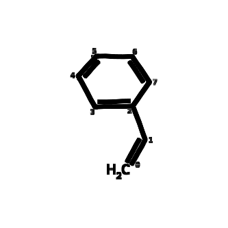 C=Cc1c[c][c]cc1